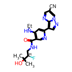 CCNc1cc(-c2cnn3cc(C#N)cnc23)ncc1C(=O)NC[C@@H](F)C(C)(C)O